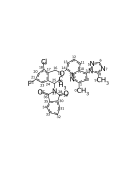 Cc1cc(-n2ncnc2C)c2cccc(OCc3c(Cl)cc(F)cc3C(C)N3C(=O)c4ccccc4C3=O)c2n1